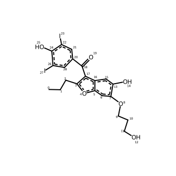 CCCc1oc2cc(OCCCO)c(O)cc2c1C(=O)c1cc(I)c(O)c(I)c1